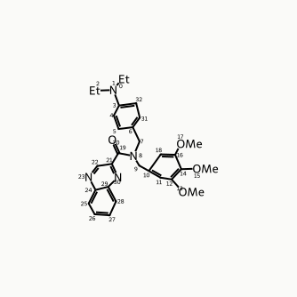 CCN(CC)c1ccc(CN(Cc2cc(OC)c(OC)c(OC)c2)C(=O)c2cnc3ccccc3n2)cc1